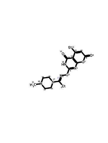 CC/C(=N\Oc1nc2oc(=O)cc(CC)c2c(=O)[nH]1)N1CCN(C)CC1